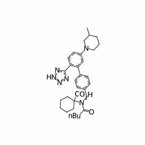 CCCCC(=O)N(Cc1ccc(-c2cc(N3CCCC(C)C3)ccc2-c2nn[nH]n2)cc1)C1(C(=O)O)CCCCC1